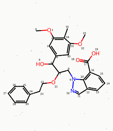 COc1cc(C(O)C(Cn2ncc3cccc(C(=O)O)c32)OCCc2ccccc2)cc(OC)c1C